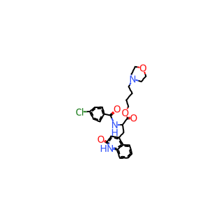 O=C(NC(Cc1cc(=O)[nH]c2ccccc12)C(=O)OCCCCN1CCOCC1)c1ccc(Cl)cc1